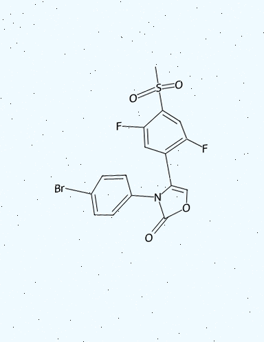 CS(=O)(=O)c1cc(F)c(-c2coc(=O)n2-c2ccc(Br)cc2)cc1F